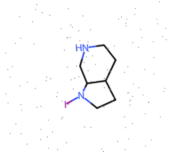 IN1CCC2CCNCC21